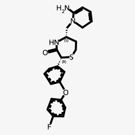 NC1=CC=CCN1C[C@@H]1CCS[C@H](c2cccc(Oc3ccc(F)cc3)c2)C(=O)N1